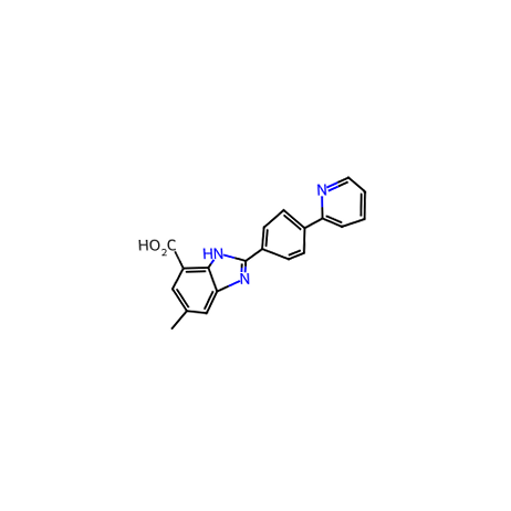 Cc1cc(C(=O)O)c2[nH]c(-c3ccc(-c4ccccn4)cc3)nc2c1